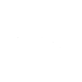 C=C(C)C(=O)OC(C)C(=O)OCCBr